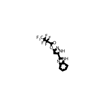 O=C(Oc1cc(-c2nc3ccccc3[nH]2)[nH]n1)C(F)(F)C(F)(F)C(F)(F)F